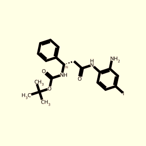 CC(C)(C)OC(=O)N[C@@H](CC(=O)Nc1ccc(I)cc1N)c1ccccc1